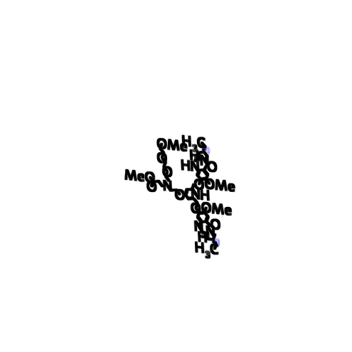 C/C=C1\C[C@H]2CNc3cc(OCC4C=C(OCCN(CCOCCOCCOC)CCC(=O)OC)C=C(COc5cc6c(cc5OC)C(=O)N5C/C(=C/C)C[C@H]5C=N6)N4)c(OC)cc3C(=O)N2C1